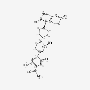 CC[C@H]1CN(c2nc(N)c(C(N)=O)nc2Cl)CCN1C1CCN([C@@H](C(=O)NC)c2ccc(Cl)cc2)CC1